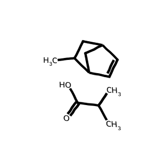 CC(C)C(=O)O.CC1CC2C=CC1C2